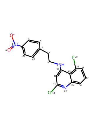 O=[N+]([O-])c1ccc(CCNc2cc(Cl)nc3cccc(F)c23)cc1